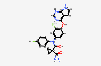 NC(=O)C1(C(=O)N(c2ccc(F)cc2)c2ccc(Oc3ncnc4[nH]ccc34)c(F)c2)CC1